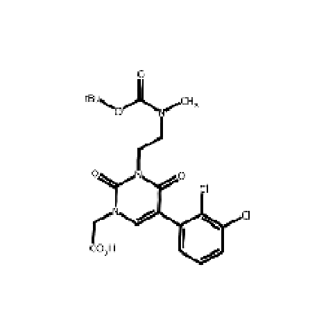 CN(CCn1c(=O)c(-c2cccc(Cl)c2Cl)cn(CC(=O)O)c1=O)C(=O)OC(C)(C)C